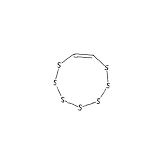 C1=C\SSSSSSS/1